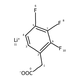 O=C([O-])Cc1ccc(F)c(F)c1F.[Li+]